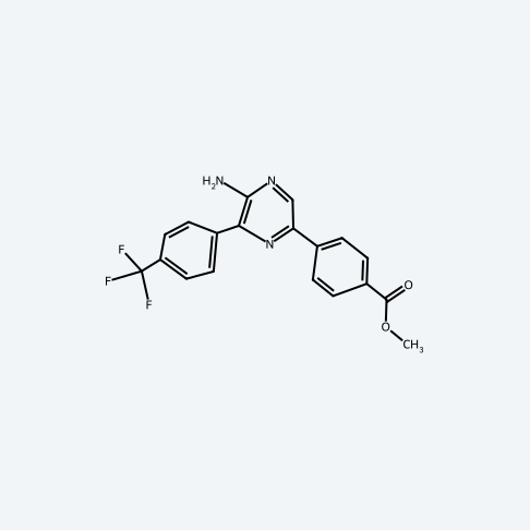 COC(=O)c1ccc(-c2cnc(N)c(-c3ccc(C(F)(F)F)cc3)n2)cc1